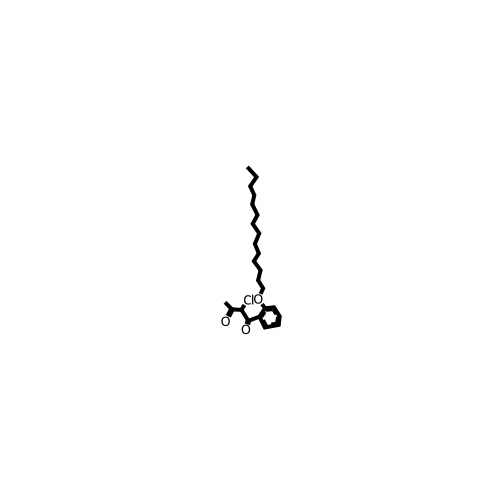 CCCCCCCCCCCCCCOc1ccccc1C(=O)C(Cl)C(C)=O